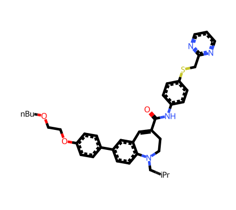 CCCCOCCOc1ccc(-c2ccc3c(c2)C=C(C(=O)Nc2ccc(SCc4ncccn4)cc2)CCN3CC(C)C)cc1